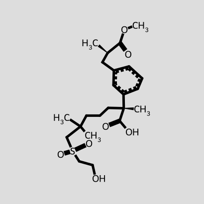 COC(=O)[C@H](C)Cc1cccc([C@@](C)(CCCC(C)(C)CS(=O)(=O)CCO)C(=O)O)c1